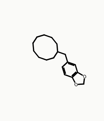 c1cc2c(cc1CC1CCCCCCCCC1)OCO2